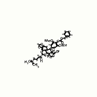 COc1cc([C@@H]2c3cc4c(cc3[C@@H](OC(=O)NCCCN(C)C)[C@@H]3COC(=O)[C@@H]23)OCO4)cc(OC)c1OC(=O)OCc1ccccc1